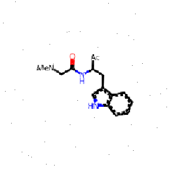 CNCC(=O)NC(Cc1c[nH]c2ccccc12)C(C)=O